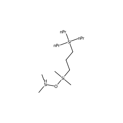 CCC[Si](CCC)(CCC)CCC[Si](C)(C)O[SiH](C)C